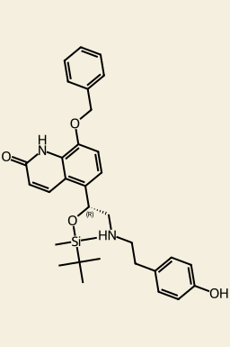 CC(C)(C)[Si](C)(C)O[C@@H](CNCCc1ccc(O)cc1)c1ccc(OCc2ccccc2)c2[nH]c(=O)ccc12